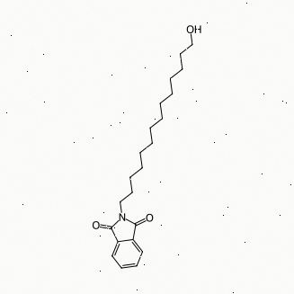 O=C1c2ccccc2C(=O)N1CCCCCCCCCCCCCCO